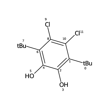 CC(C)(C)c1c(O)c(O)c(C(C)(C)C)c(Cl)c1Cl